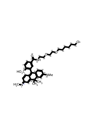 C/N=C1\C=CC2=C(c3cc(C(=O)NCCOCCOCCCCCCCl)ccc3C(=O)O)c3ccc(NC)cc3C(C)(C)C2=C1